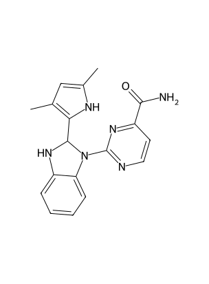 Cc1cc(C)c(C2Nc3ccccc3N2c2nccc(C(N)=O)n2)[nH]1